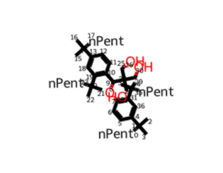 CCCCCC(C)(C)c1ccc(OC(c2ccc(C(C)(C)CCCCC)cc2C(C)(C)CCCCC)C(CO)(CO)CO)c(C(C)(C)CCCCC)c1